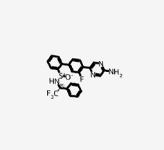 Nc1cnc(-c2ccc(-c3ccccc3[S+]([O-])N[C@H](c3ccccc3)C(F)(F)F)cc2F)cn1